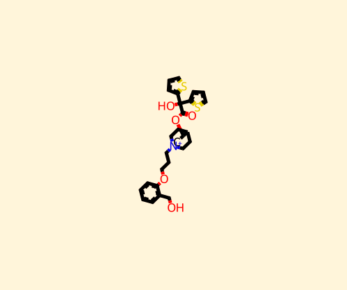 O=C(OC1C[N+]2(CCCOc3ccccc3CO)CCC1CC2)C(O)(c1cccs1)c1cccs1